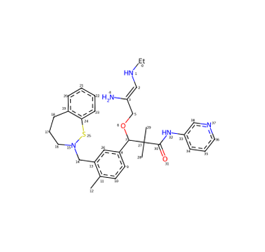 CCN/C=C(\N)COC(c1ccc(C)c(CN2CCCc3ccccc3S2)c1)C(C)(C)C(=O)Nc1cccnc1